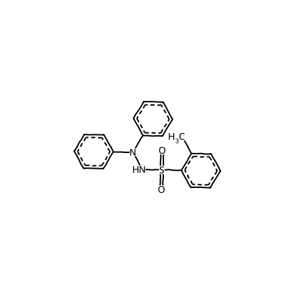 Cc1ccccc1S(=O)(=O)NN(c1ccccc1)c1ccccc1